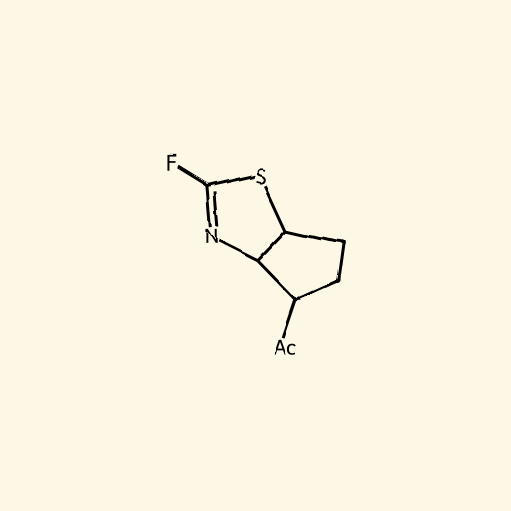 CC(=O)C1CCC2SC(F)=NC21